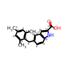 Cc1cc(C)c(Cc2ccc3[nH]c(C(=O)O)cc3c2)c(C)c1